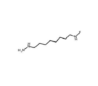 NNCCCCCCCCNF